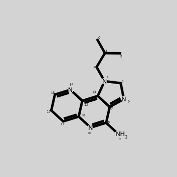 CC(C)CN1CN=c2c(N)nc3c(c21)N=CCC=3